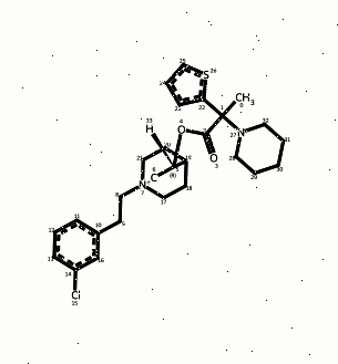 CC(C(=O)O[C@H]1C[N+]2(CCc3cccc(Cl)c3)CCC1CC2)(c1cccs1)N1CCCCC1